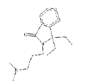 CCC1(CC)c2ccccc2C(=O)N1CCCN(C)C